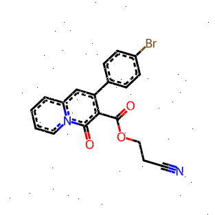 N#CCCOC(=O)c1c(-c2ccc(Br)cc2)cc2ccccn2c1=O